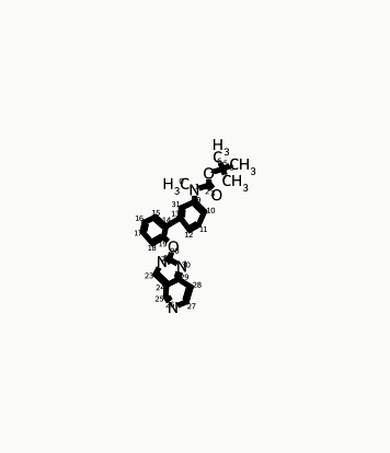 CN(C(=O)OC(C)(C)C)c1cccc(-c2ccccc2Oc2ncc3cnccc3n2)c1